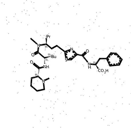 CC[C@H](C)[C@H](NC(=O)[C@H]1CCCCN1C)C(=O)N(C)[C@H](CCc1nc(C(=O)N[C@@H](Cc2ccccc2)C(=O)O)cs1)C(C)C